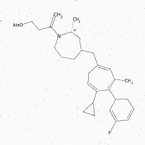 C=C(CCOC)N1CCCC(CC2=CC(C)=C(C3C=C(F)C=CC3)C(C3CC3)=CC2)C[C@H]1C